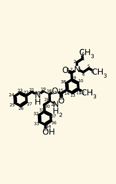 CCCN(CCC)C(=O)c1cc(C)cc(C(=O)O[C@H](CNCc2ccccc2)[C@@H](N)Cc2ccc(O)cc2)c1